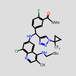 CNC(=O)c1cc(C(Nc2cc(Cl)c3ncc(C#N)c(NCC(C)(C)C)c3c2)c2cn(C3(C(F)(F)F)CC3)nn2)ccc1F